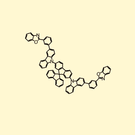 c1cc(-c2ccc3c(c2)c2ccccc2n3-c2ccc3c(c2)C2(c4ccccc4-c4ccccc42)c2cc(-n4c5ccccc5c5cc(-c6cccc(-c7nc8ccccc8o7)c6)ccc54)ccc2-3)cc(-c2nc3ccccc3o2)c1